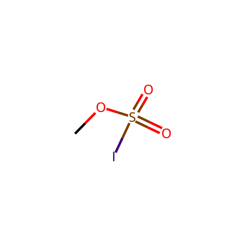 COS(=O)(=O)I